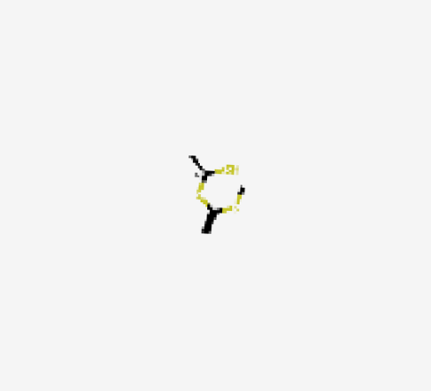 C=C(SC)S[C@@H](C)S